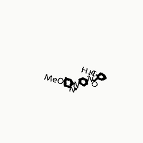 COc1ccc2c(c1)ncn2-c1ccc(NC(=O)c2ccccc2C)cc1